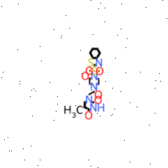 Cc1cn(CC(=O)N2CCN(S(=O)(=O)c3nc4ccccc4s3)C(=O)C2)c(=O)[nH]c1=O